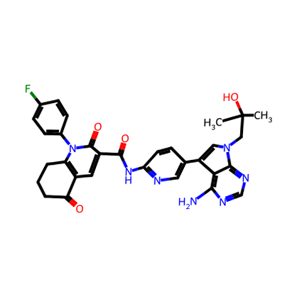 CC(C)(O)Cn1cc(-c2ccc(NC(=O)c3cc4c(n(-c5ccc(F)cc5)c3=O)CCCC4=O)nc2)c2c(N)ncnc21